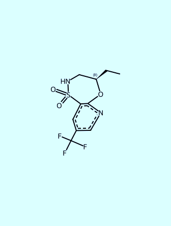 CC[C@@H]1CNS(=O)(=O)c2cc(C(F)(F)F)cnc2O1